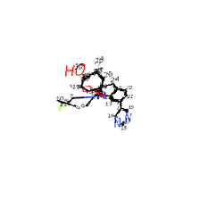 CC1=N[C@@]2(C(=O)N1CC(C)(C)F)c1cc(-c3cncnc3)ccc1C[C@@]21C[C@@H](C)[C@H](O)[C@@H](C)C1